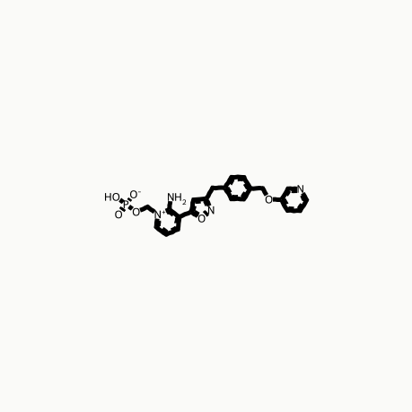 Nc1c(-c2cc(Cc3ccc(COc4cccnc4)cc3)no2)ccc[n+]1COP(=O)([O-])O